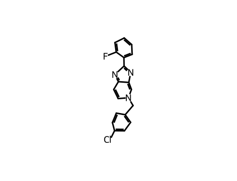 Fc1ccccc1-c1nc2ccn(Cc3ccc(Cl)cc3)cc-2n1